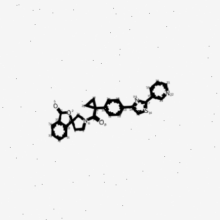 O=C1OC2(CCN(C(=O)C3(c4ccc(-c5csc(-c6cccnc6)n5)cc4)CC3)C2)c2ccccc21